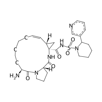 N[C@H]1CCCCC/C=C\[C@@H]2C[C@@]2(C(=O)NS(=O)(=O)N2CCCCC2c2cccnc2)NC(=O)[C@@H]2CCCN2C1=O